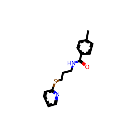 Cc1ccc(C(=O)NCCCSc2ccccn2)cc1